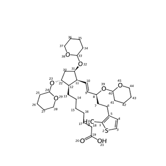 Cc1sccc1CC[C@@H](C=C[C@H]1[C@@H](CCCCCCC(=O)O)[C@H](OC2CCCCO2)C[C@H]1OC1CCCCO1)OC1CCCCO1